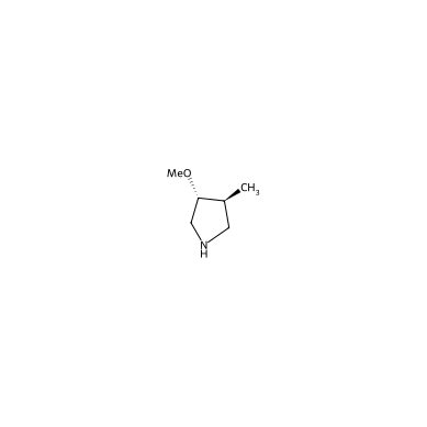 CO[C@H]1CNC[C@@H]1C